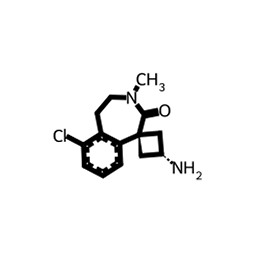 CN1CCc2c(Cl)cccc2[C@]2(C[C@@H](N)C2)C1=O